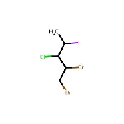 CC(I)C(Cl)C(Br)CBr